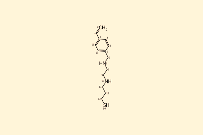 C=Cc1ccc(CNCCNCCCS)cc1